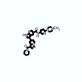 CN1CCN(c2ccc(NC(=O)c3cnc4[nH]cc(-c5ccn6ncc(C(=O)N7CCCCC7)c6c5)c4c3)cn2)CC1